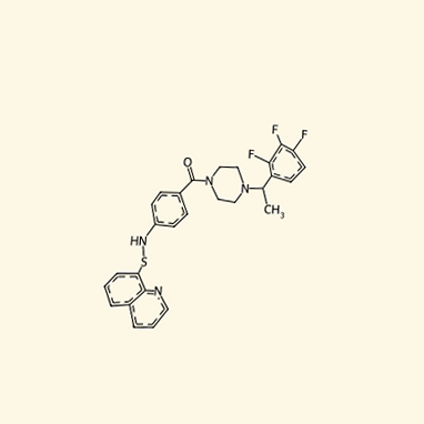 CC(c1ccc(F)c(F)c1F)N1CCN(C(=O)c2ccc(NSc3cccc4cccnc34)cc2)CC1